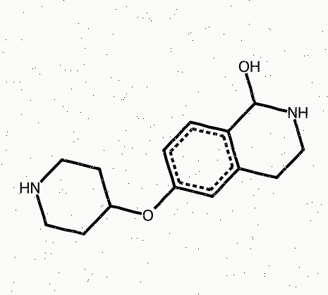 OC1NCCc2cc(OC3CCNCC3)ccc21